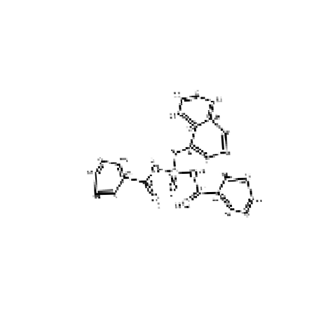 O=C(OP(=O)(Cc1cccc2ccccc12)OC(=O)c1ccccc1)c1ccccc1